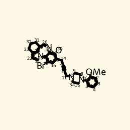 COc1ccccc1N1CCN(CC#CCc2cc(Br)c3n4ccc5c4c(cnc-3c2=O)CCC5)CC1